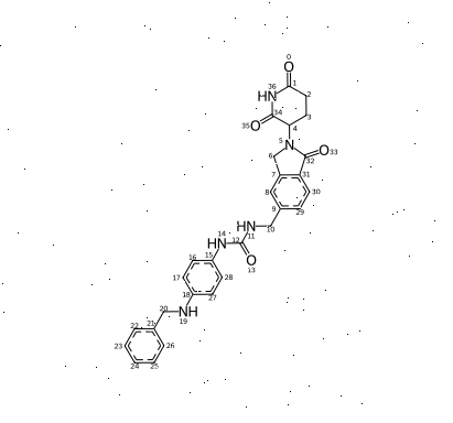 O=C1CCC(N2Cc3cc(CNC(=O)Nc4ccc(NCc5ccccc5)cc4)ccc3C2=O)C(=O)N1